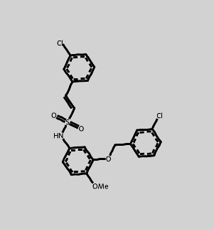 COc1ccc(NS(=O)(=O)/C=C/c2cccc(Cl)c2)cc1OCc1cccc(Cl)c1